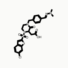 CN(C)/N=C/c1ccc(CN2CCN(S(=O)(=O)c3cc4ccc(Cl)cc4s3)C(CC(=O)O)C2=O)cc1